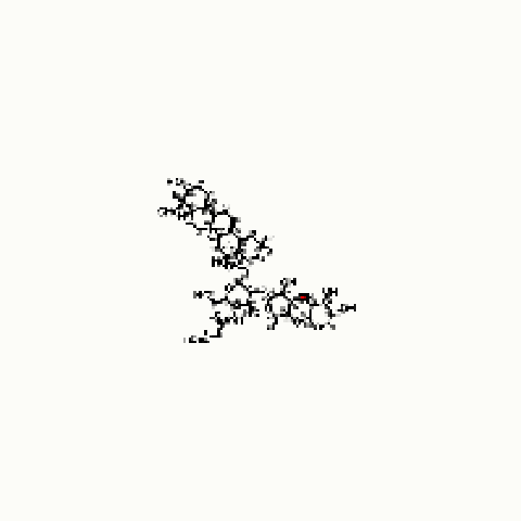 CCCCCCCCCCCC(=O)N[C@H]1C(CO)O[C@@H](OC(=O)[C@]23CCC(C)(C)CC2C2=CCC4C5(C)CC[C@H](O)[C@](C)(C=O)[C@@H]5CCC4(C)[C@]2(C)CC3O)C(O[C@@H]2OC(C)[C@H](O[C@@H]3OC[C@@H](O)C(O)C3O)C(O)C2O)C1O